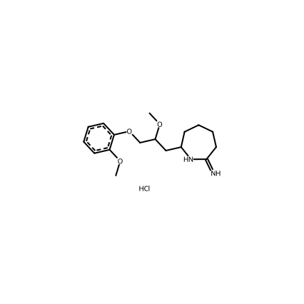 COc1ccccc1OCC(CC1CCCCC(=N)N1)OC.Cl